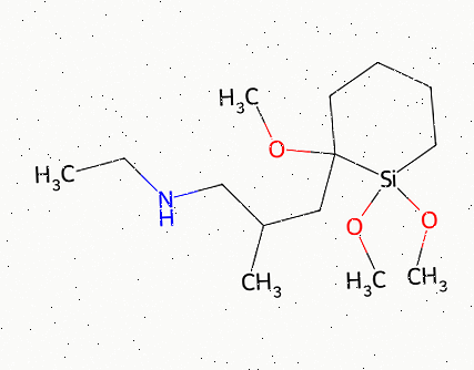 CCNCC(C)CC1(OC)CCCC[Si]1(OC)OC